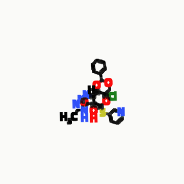 CCNC(=O)[C@]1(O)[C@@H](Sc2cccnc2)O[C@@]2(Cl)COC(c3ccccc3)O[C@@H]2[C@@H]1N=[N+]=[N-]